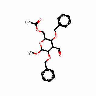 COC1OC(COC(C)=O)C(OCc2ccccc2)C(C=O)C1OCc1ccccc1